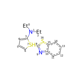 CCN(CC)C1=CC=C[SH]1c1nc2ccccc2s1